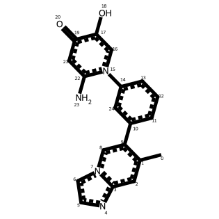 Cc1cc2nccn2cc1-c1cccc(-n2cc(O)c(=O)cc2N)c1